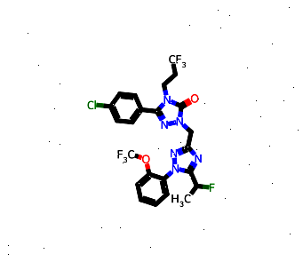 CC(F)c1nc(Cn2nc(-c3ccc(Cl)cc3)n(CCC(F)(F)F)c2=O)nn1-c1ccccc1OC(F)(F)F